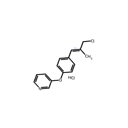 C/C(=C\c1ccc(Oc2cccnc2)cc1)CCl.Cl